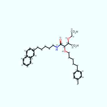 Cc1ccc(CCCCCOC(C(=O)NCCCCCc2ccc3ccccc3c2)C(OCC(=O)O)C(=O)O)cc1